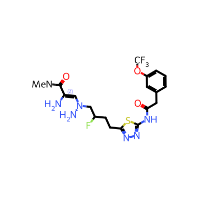 CNC(=O)/C(N)=C/N(N)CC(F)CCc1nnc(NC(=O)Cc2cccc(OC(F)(F)F)c2)s1